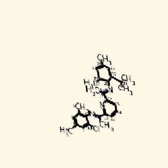 C/C(=N\c1c(C)cc(C)cc1Cl)c1cccc(/C(C)=N/c2c(C)cc(C)cc2C(C)C)n1